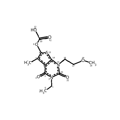 CCn1c(=O)c2c(C)c(OC(=O)O)sc2n(CCOC)c1=O